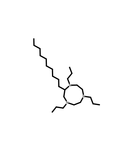 CCCCCCCCCCC1CN(CCC)CCN(CCC)CCN1CCC